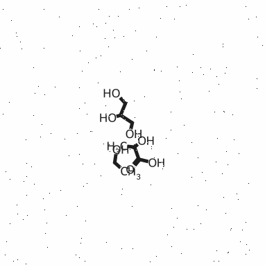 CC(O)C(=O)O.CCO.OCC(O)CO